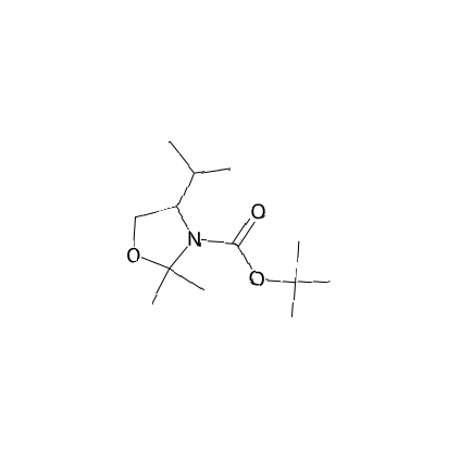 CC(C)C1COC(C)(C)N1C(=O)OC(C)(C)C